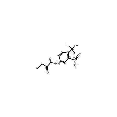 CCC(=O)C(=O)Nc1ccc(C(F)(F)F)c([N+](=O)[O-])c1